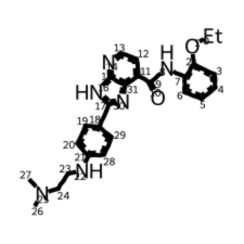 CCOc1ccccc1NC(=O)c1ccnc2[nH]c(-c3ccc(NCCN(C)C)cc3)nc12